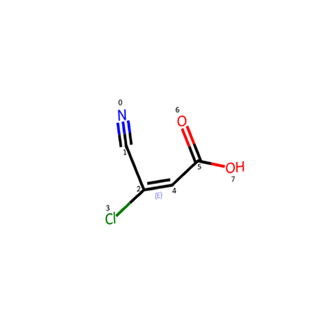 N#C/C(Cl)=C\C(=O)O